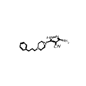 N#Cc1c(N)n[nH]c1N1CCN(CCCc2ccccc2)CC1